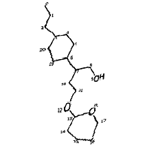 CCCC1CCC(C(CO)CCOC2CCCCO2)CC1